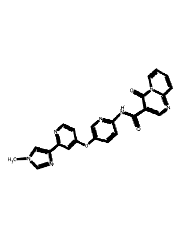 Cn1cnc(-c2cc(Oc3ccc(NC(=O)c4cnc5ccccn5c4=O)nc3)ccn2)c1